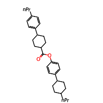 CCCc1ccc(C2CCC(C(=O)Oc3ccc(C4CCC(CCC)CC4)cc3)CC2)cc1